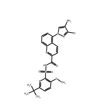 COc1ccc(C(C)(C)C)nc1S(=O)(=O)NC(=O)c1ccc2c(-n3cc(N)c(Cl)n3)cccc2n1